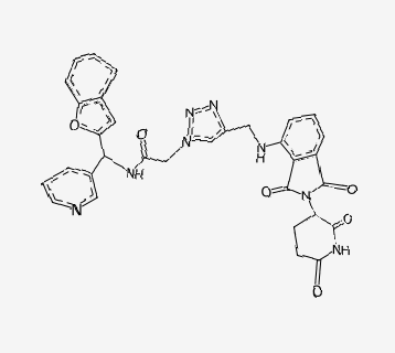 O=C1CCC(N2C(=O)c3cccc(NCc4cn(CC(=O)NC(c5cccnc5)c5cc6ccccc6o5)nn4)c3C2=O)C(=O)N1